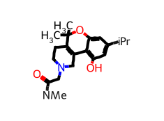 CNC(=O)CN1CCC2=C(C1)c1c(O)cc(C(C)C)cc1OC2(C)C